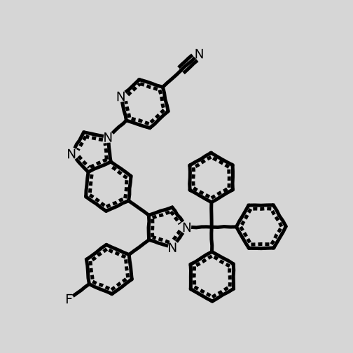 N#Cc1ccc(-n2cnc3ccc(-c4cn(C(c5ccccc5)(c5ccccc5)c5ccccc5)nc4-c4ccc(F)cc4)cc32)nc1